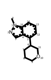 Cn1ncc2c(C3CCCOC3)cccc21